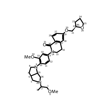 COCC(C)N1CC2CCN(c3ccc(N4CCc5cc(OC[C@H]6CCCO6)ccc5C4=O)cc3OC)C2C1